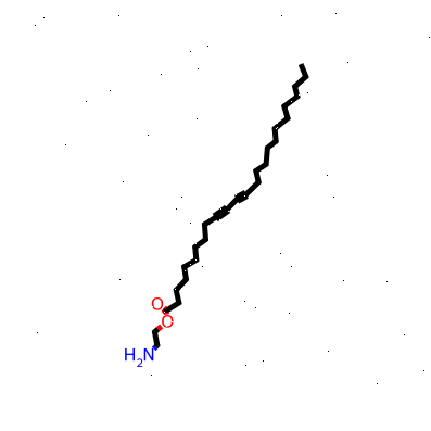 CCCCCCCCCCCCC#CC#CCCCCCCCCC(=O)OCCN